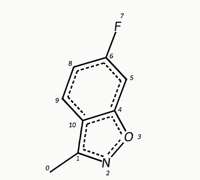 Cc1noc2cc(F)ccc12